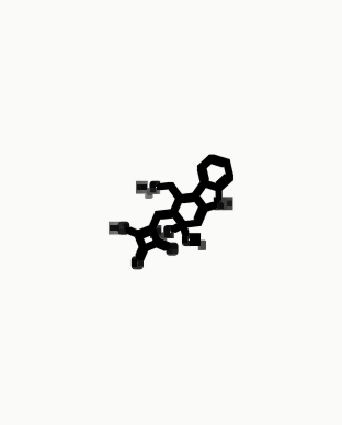 CCC1=c2c([nH]c3ccccc23)=CC(C)(C)C1=Cc1c(O)c(=O)c1=O